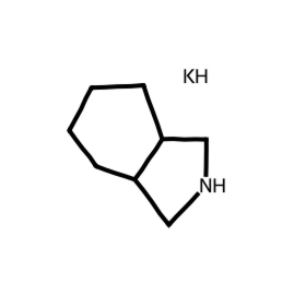 C1CCC2CNCC2C1.[KH]